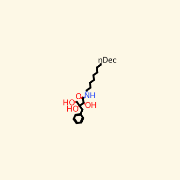 CCCCCCCCCCCCCCCCCCNC(=O)C(O)C(O)(CO)Cc1ccccc1